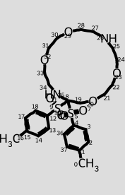 Cc1ccc(S(=O)(=O)C2(S(=O)(=O)c3ccc(C)cc3)COCCOCCNCCOCCOCCN2)cc1